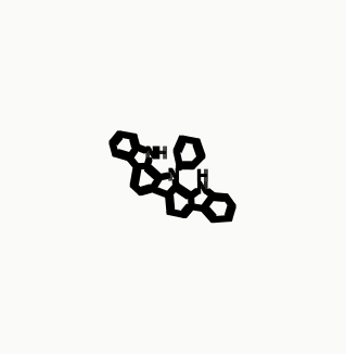 c1ccc(-n2c3c(ccc4c5ccccc5[nH]c43)c3ccc4c5ccccc5[nH]c4c32)cc1